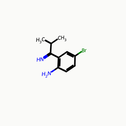 CC(C)C(=N)c1cc(Br)ccc1N